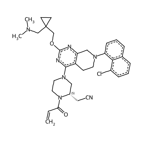 C=CC(=O)N1CCN(c2nc(OCC3(CN(C)C)CC3)nc3c2CCN(c2cccc4cccc(Cl)c24)C3)C[C@@H]1CC#N